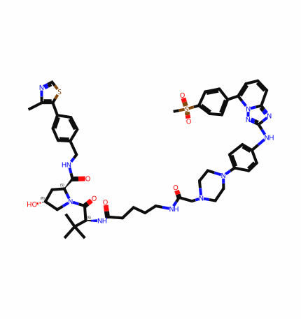 Cc1ncsc1-c1ccc(CNC(=O)[C@@H]2C[C@@H](O)CN2C(=O)[C@@H](NC(=O)CCCCNC(=O)CN2CCN(c3ccc(Nc4nc5cccc(-c6ccc(S(C)(=O)=O)cc6)n5n4)cc3)CC2)C(C)(C)C)cc1